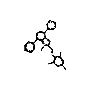 Cc1cc(C)c(/N=C/c2nc3c(-c4ccccc4)ccc(-c4ccccc4)c3n2C)c(C)c1